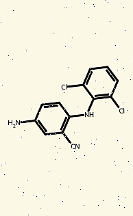 N#Cc1cc(N)ccc1Nc1c(Cl)cccc1Cl